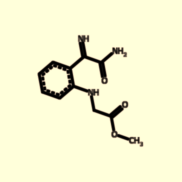 COC(=O)CNc1ccccc1C(=N)C(N)=O